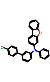 Clc1ccc(-c2cccc(N(c3ccccc3)c3ccc4c(c3)oc3ccccc34)c2)cc1